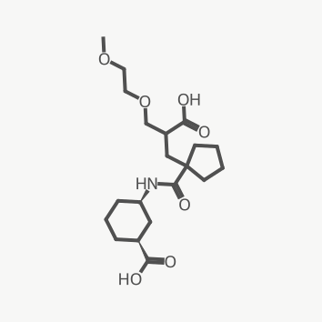 COCCOCC(CC1(C(=O)N[C@@H]2CCC[C@H](C(=O)O)C2)CCCC1)C(=O)O